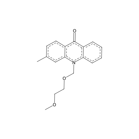 COCCOCn1c2ccccc2c(=O)c2ccc(C)cc21